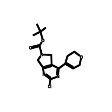 CC(C)(C)OC(=O)N1Cc2nc(Cl)nc(C3=CCOCC3)c2C1